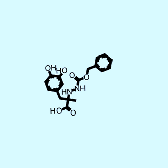 CC(Cc1ccc(O)c(O)c1)(NNC(=O)OCc1ccccc1)C(=O)O